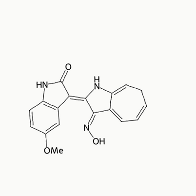 COc1ccc2c(c1)/C(=C1/NC3=CCC=CC=C3/C1=N\O)C(=O)N2